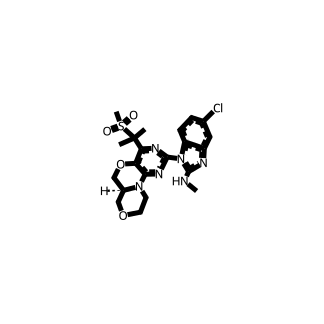 CNc1nc2cc(Cl)ccc2n1-c1nc2c(c(C(C)(C)S(C)(=O)=O)n1)OC[C@@H]1COCCN21